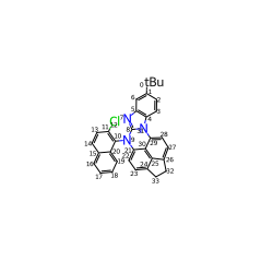 CC(C)(C)c1ccc2c(c1)nc1n(-c3c(Cl)ccc4ccccc34)c3ccc4c5c(ccc(c53)n21)CC4